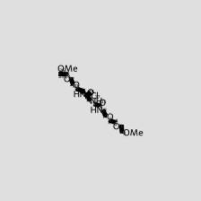 COCCOCCOCCNC(=O)CNCC(=O)NCCOCCOCCOC.Cl